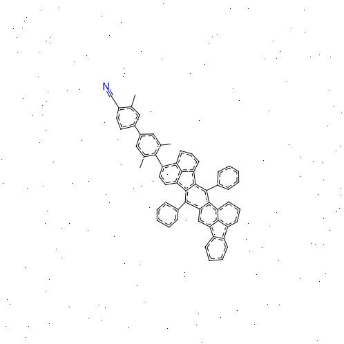 Cc1cc(-c2cc(C)c(-c3ccc4c5c(-c6ccccc6)c6cc7c8ccccc8c8cccc(c6c(-c6ccccc6)c5c5cccc3c45)c87)c(C)c2)ccc1C#N